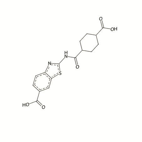 O=C(O)c1ccc2nc(NC(=O)C3CCC(C(=O)O)CC3)sc2c1